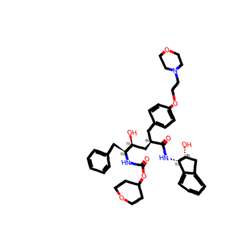 O=C(N[C@@H](Cc1ccccc1)[C@@H](O)C[C@@H](Cc1ccc(OCCN2CCOCC2)cc1)C(=O)N[C@H]1c2ccccc2C[C@H]1O)OC1CCOCC1